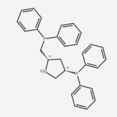 c1ccc(P(C[C@H]2C[C@@H](P(c3ccccc3)c3ccccc3)CN2)c2ccccc2)cc1